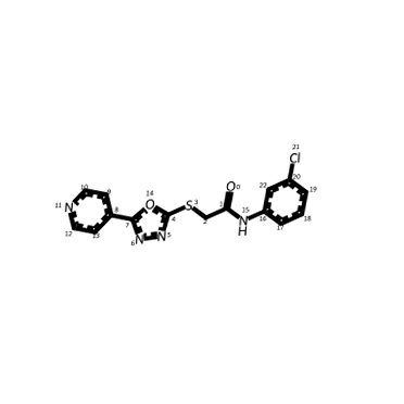 O=C(CSc1nnc(-c2ccncc2)o1)Nc1cccc(Cl)c1